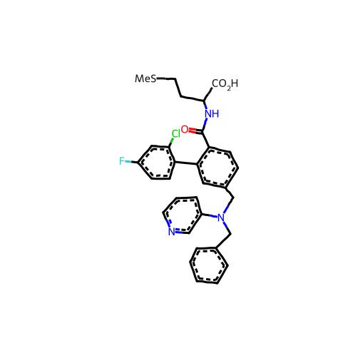 CSCCC(NC(=O)c1ccc(CN(Cc2ccccc2)c2cccnc2)cc1-c1ccc(F)cc1Cl)C(=O)O